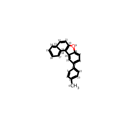 Cc1ccc(-c2ccc3oc4ccc5ccccc5c4c3c2)cc1